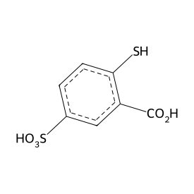 O=C(O)c1cc(S(=O)(=O)O)ccc1S